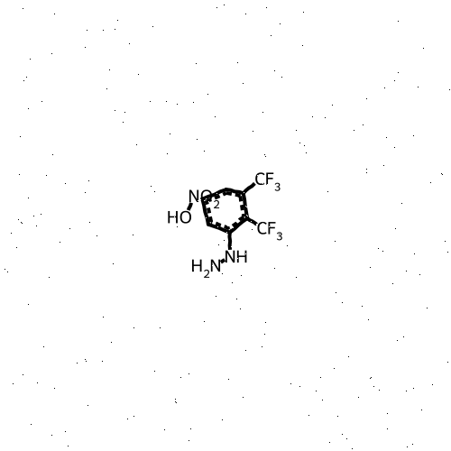 NNc1cccc(C(F)(F)F)c1C(F)(F)F.O=[N+]([O-])O